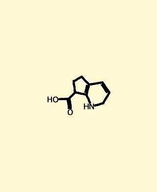 O=C(O)C1CCC2=C1NCC=C2